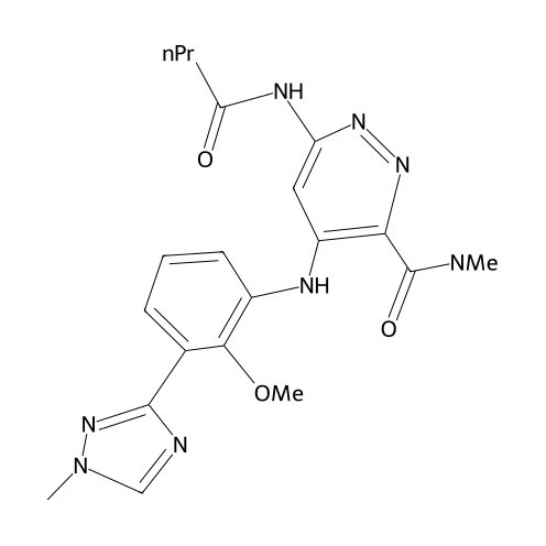 CCCC(=O)Nc1cc(Nc2cccc(-c3ncn(C)n3)c2OC)c(C(=O)NC)nn1